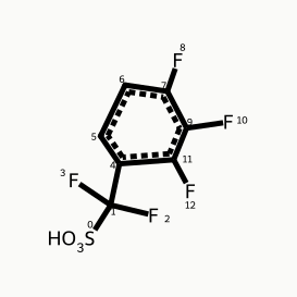 O=S(=O)(O)C(F)(F)c1ccc(F)c(F)c1F